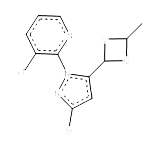 CC1OC(c2cc(Br)nn2-c2ncccc2Cl)O1